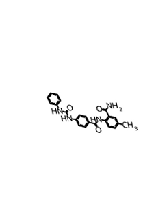 Cc1ccc(NC(=O)c2ccc(NC(=O)Nc3ccccc3)cc2)c(C(N)=O)c1